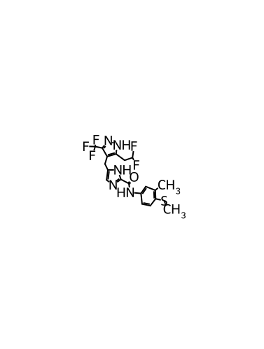 CSc1ccc(NC(=O)c2ncc(Cc3c(C(F)(F)F)n[nH]c3CC(F)F)[nH]2)cc1C